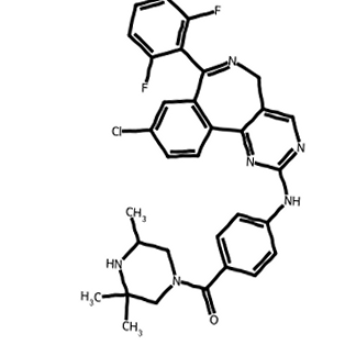 CC1CN(C(=O)c2ccc(Nc3ncc4c(n3)-c3ccc(Cl)cc3C(c3c(F)cccc3F)=NC4)cc2)CC(C)(C)N1